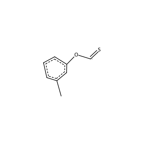 Cc1cccc(O[C]=S)c1